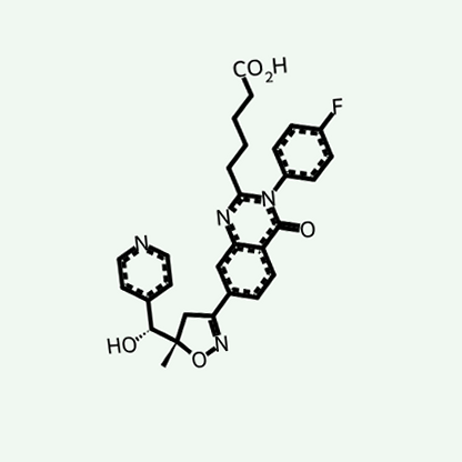 C[C@@]1([C@H](O)c2ccncc2)CC(c2ccc3c(=O)n(-c4ccc(F)cc4)c(CCCCC(=O)O)nc3c2)=NO1